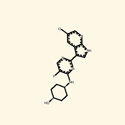 O[C@H]1CC[C@@H](Nc2nc(-c3c[nH]c4ncc(Cl)cc34)ncc2F)CC1